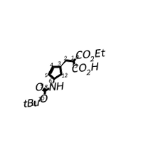 CCOC(=O)C(C[C@@H]1C=C[C@H](NC(=O)OC(C)(C)C)C1)C(=O)O